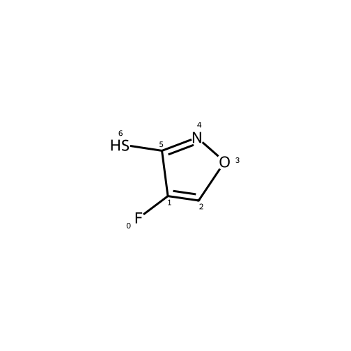 Fc1conc1S